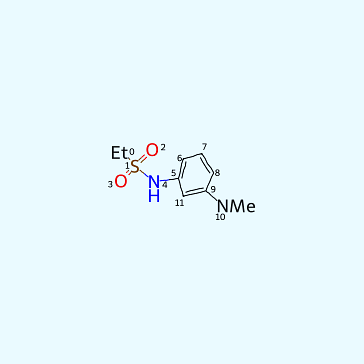 CCS(=O)(=O)Nc1cccc(NC)c1